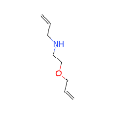 C=CCNCCOCC=C